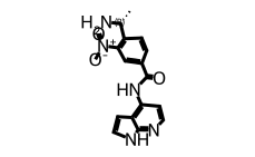 C[C@@H](N)c1ccc(C(=O)Nc2ccnc3[nH]ccc23)cc1[N+](=O)[O-]